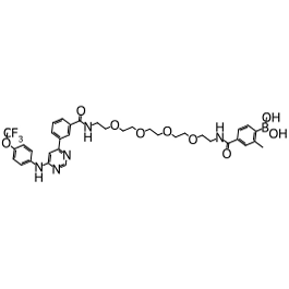 Cc1cc(C(=O)NCCOCCOCCOCCOCCNC(=O)c2cccc(-c3cc(Nc4ccc(OC(F)(F)F)cc4)ncn3)c2)ccc1B(O)O